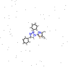 Cc1nc(N2CC(c3ccccc3)=NN2c2ccccc2)sc1C